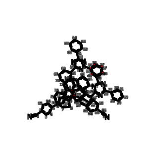 N#Cc1ccc(-c2ccc3c(c2)c2ccccc2n3-c2cccc(-c3nc(-c4ccccc4)nc(-c4ccccc4)n3)c2-c2cccc(-c3c(-c4nc(-c5ccccc5)nc(-c5ccccc5)n4)cccc3-n3c4ccccc4c4cc(-c5ccc(C#N)cc5)ccc43)c2)cc1